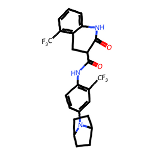 O=C(Nc1ccc(N2C3CCC2CC3)cc1C(F)(F)F)C1Cc2c(cccc2C(F)(F)F)NC1=O